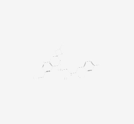 CC(=O)N[C@@H](Cc1ccc(F)cc1)[C@H](O)CN[C@H]1CC2(CC(C)C2)Oc2ncc(CC(C)(C)C)cc21